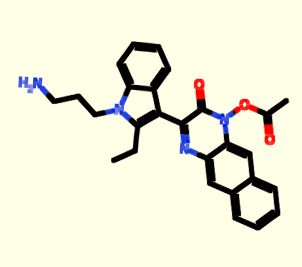 CCc1c(-c2nc3cc4ccccc4cc3n(OC(C)=O)c2=O)c2ccccc2n1CCCN